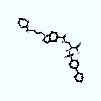 O=C(NCC(NS(=O)(=O)c1ccc(-c2ccccc2)cc1)C(=O)O)c1ccc2c(cnn2CCCNC2NC=CCN2)c1